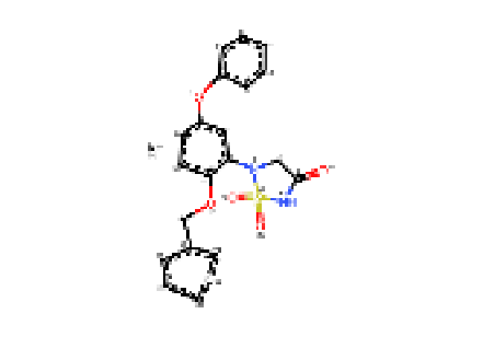 O=C1CN(c2cc(Oc3ccccc3)ccc2OCc2ccccc2)S(=O)(=O)N1.[KH]